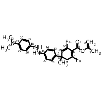 C=C(C)OC(=O)C1=C(F)CC(C)(c2ccc(NNc3ccc(N(C)C)cc3)cc2)C=C1F